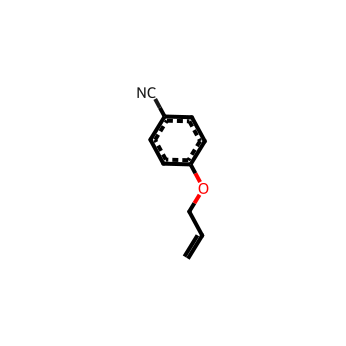 C=CCOc1ccc(C#N)cc1